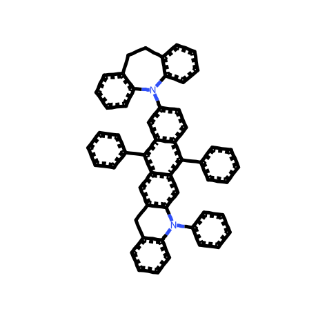 c1ccc(-c2c3cc(N4c5ccccc5CCc5ccccc54)ccc3c(-c3ccccc3)c3cc4c(cc23)Cc2ccccc2N4c2ccccc2)cc1